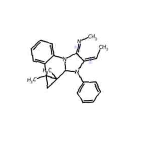 C/C=C1\C(=N/C)N2c3ccccc3C3(C)CC3(C)C2N1c1ccccc1